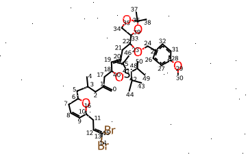 C=C(CC(C)CC1CC=CC(CC=C(Br)Br)O1)CC(C=CCC(OCc1ccc(OC)cc1)C1COC(C)(C)O1)O[Si](C(C)C)(C(C)C)C(C)C